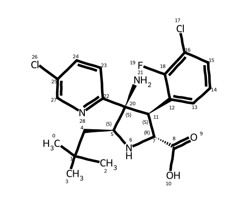 CC(C)(C)C[C@@H]1N[C@@H](C(=O)O)[C@H](c2cccc(Cl)c2F)[C@@]1(N)c1ccc(Cl)cn1